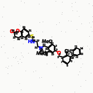 COc1cc(OCc2cccc(-c3ccccc3)c2C)cc(OC)c1CN(C)CCNSc1ccc2c(c1)CCC(=O)O2